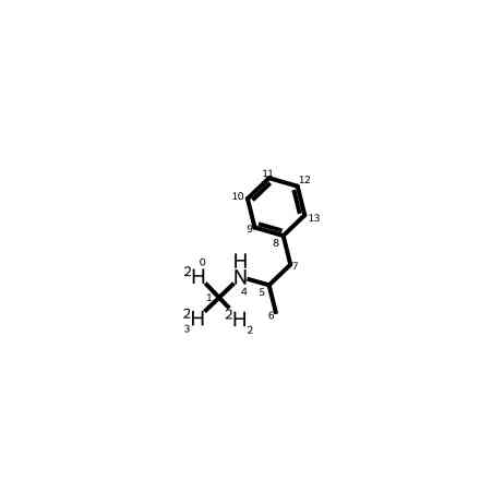 [2H]C([2H])([2H])NC(C)Cc1ccccc1